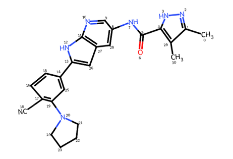 Cc1n[nH]c(C(=O)Nc2cnc3[nH]c(-c4ccc(C#N)c(N5CCCC5)c4)cc3c2)c1C